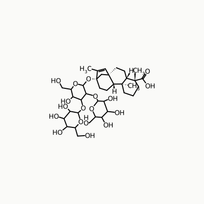 CC1=C[C@@]23CC[C@H]4[C@@](C)(CCC[C@@]4(C)C(=O)O)[C@@H]2CC[C@]1(OC1OC(CO)C(O)C(OC2OC(CO)C(O)C(O)C2O)C1OC1OC(CO)C(O)C(O)C1O)C3